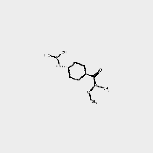 CON(C)C(=O)[C@H]1CC[C@H](NB(C)O)CC1